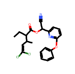 CCC(C(=O)OC(C#N)c1cccc(Oc2ccccc2)n1)C(C)C=C(Cl)Cl